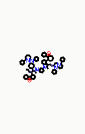 C=C/C=C(\C(C1=CC=CC(N(C2=NC(c3ccccc3)=CC=CC2)c2ccccc2)=C=C1)=C(/C)N(C)c1cccc(-n2c(C)c(C/C=C(\C=C)N(c3ccccc3)c3cccc(-c4ccccc4)n3)c3c(C4=c5c(oc6ccccc56)=CC=CC4)cccc32)c1)c1cccc2oc3ccccc3c12